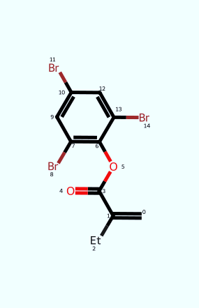 C=C(CC)C(=O)Oc1c(Br)cc(Br)cc1Br